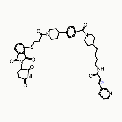 O=C(/C=C/c1cccnc1)NCCCCC1CCN(C(=O)c2ccc(C3CCN(C(=O)CCSc4cccc5c4C(=O)N(C4CCC(=O)NC4=O)C5=O)CC3)cc2)CC1